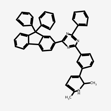 CC1=CC=C(c2cccc(-c3nc(-c4ccccc4)nc(-c4ccc5c(c4)C(c4ccccc4)(c4ccccc4)c4ccccc4-5)n3)c2)C(C)N1